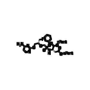 CCCCCOC(=O)C[C@H](NP(=O)(CO[C@@H](CF)COc1nccc(N)n1)Oc1ccccc1)C(=O)OCCCCC